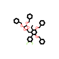 CCc1c(OCc2ccccc2)cc(OCc2ccccc2)c(-c2ccc(F)c(F)c2)c1CC1O[C@@H](OCc2ccccc2)[C@H](OCc2ccccc2)O1